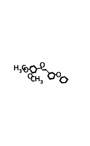 COc1ccc(C(=O)C=Cc2cccc(Oc3ccccc3)c2)cc1OC